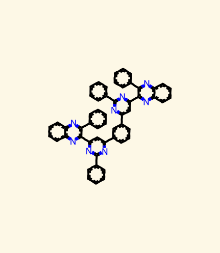 c1ccc(-c2nc(-c3cccc(-c4cc(-c5nc6ccccc6nc5-c5ccccc5)nc(-c5ccccc5)n4)c3)cc(-c3nc4ccccc4nc3-c3ccccc3)n2)cc1